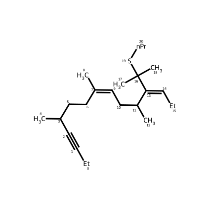 CCC#CC(C)CC/C(C)=C\CC(C)/C(=C\CC)C(C)(C)SCCC